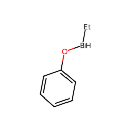 C[CH2][BiH][O]c1ccccc1